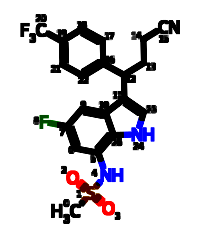 CS(=O)(=O)Nc1cc(F)cc2c(C(CCC#N)c3ccc(C(F)(F)F)cc3)c[nH]c12